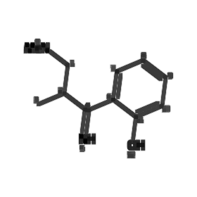 CNCC(C)C(=N)c1ccccc1O